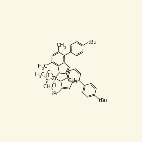 CC1=Cc2c(-c3ccc(C(C)(C)C)cc3)c(C)cc(C)c2[CH]1[Zr]([Cl])([Cl])([CH]1C(C(C)C)=Cc2c(-c3ccc(C(C)(C)C)cc3)cccc21)[SiH](C)C